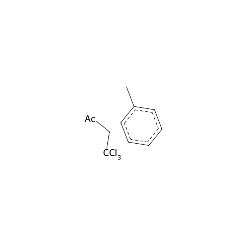 CC(=O)CC(Cl)(Cl)Cl.Cc1ccccc1